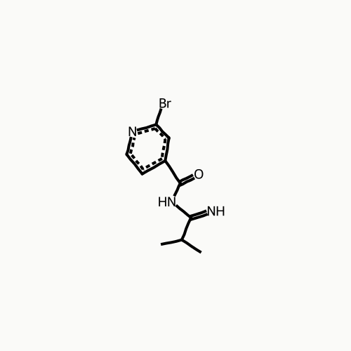 CC(C)C(=N)NC(=O)c1ccnc(Br)c1